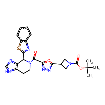 CC(C)(C)OC(=O)N1CC(c2nnc(C(=O)N3CCc4[nH]cnc4[C@H]3c3nc4ccccc4s3)o2)C1